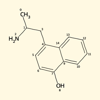 CC(N)Cc1ccc(O)c2ccccc12